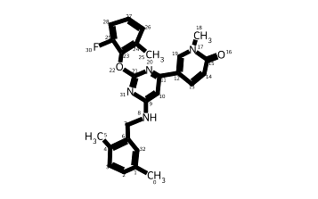 Cc1ccc(C)c(CNc2cc(-c3ccc(=O)n(C)c3)nc(Oc3c(C)cccc3F)n2)c1